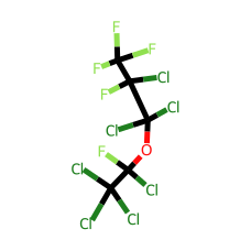 FC(F)(F)C(F)(Cl)C(Cl)(Cl)OC(F)(Cl)C(Cl)(Cl)Cl